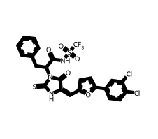 O=C(NS(=O)(=O)C(F)(F)F)C(Cc1ccccc1)N1C(=O)/C(=C\c2ccc(-c3ccc(Cl)c(Cl)c3)o2)NC1=S